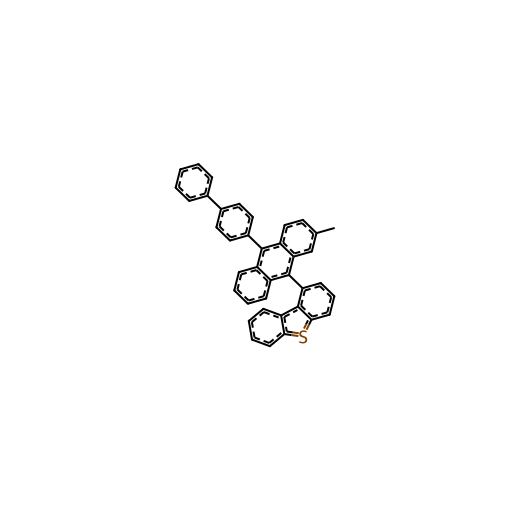 Cc1ccc2c(-c3ccc(-c4ccccc4)cc3)c3ccccc3c(-c3cccc4sc5ccccc5c34)c2c1